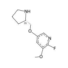 COc1cc(OC[C@@H]2CCCN2)cnc1F